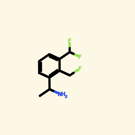 CC(N)c1cccc(C(F)F)c1CF